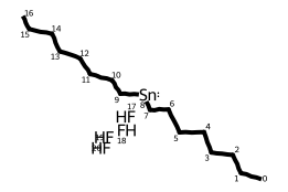 CCCCCCC[CH2][Sn][CH2]CCCCCCC.F.F.F.F